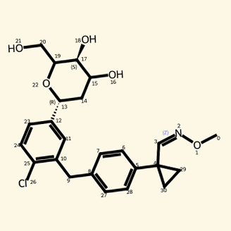 CO/N=C\C1(c2ccc(Cc3cc([C@H]4CC(O)[C@H](O)C(CO)O4)ccc3Cl)cc2)CC1